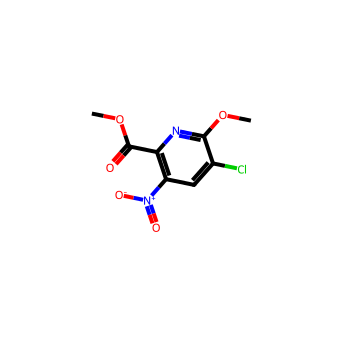 COC(=O)c1nc(OC)c(Cl)cc1[N+](=O)[O-]